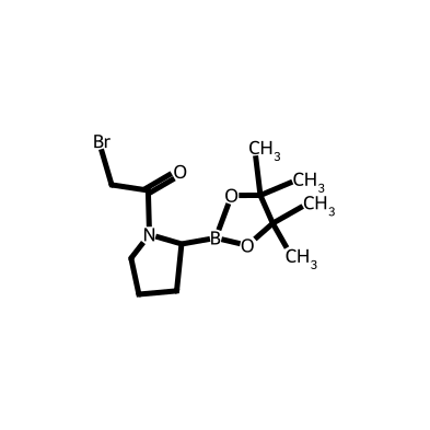 CC1(C)OB(C2CCCN2C(=O)CBr)OC1(C)C